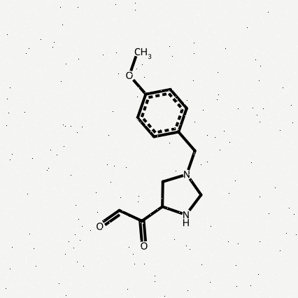 COc1ccc(CN2CNC(C(=O)C=O)C2)cc1